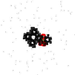 O=S1(=O)c2ccccc2Oc2cc3c(cc21)-c1ccccc1-c1ccccc1-c1ccccc1-3